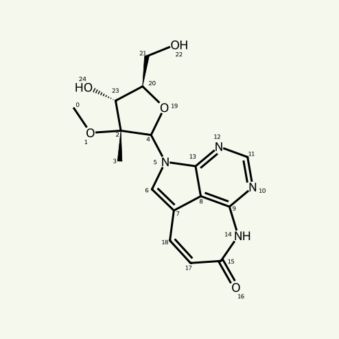 CO[C@@]1(C)C(n2cc3c4c(ncnc42)NC(=O)C=C3)O[C@H](CO)[C@H]1O